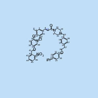 Cc1cc(/C=C/C(=O)N2CCN(Cc3ccc(CCOc4ccc(C(C)C)cc4)cc3)CC2)cc(Cl)c1Oc1ccc(OCc2ccccc2[N+](=O)[O-])cn1